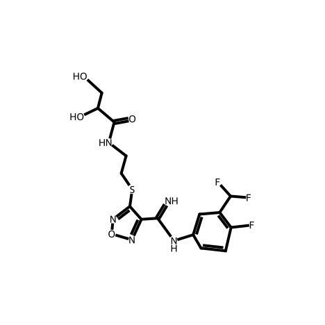 N=C(Nc1ccc(F)c(C(F)F)c1)c1nonc1SCCNC(=O)C(O)CO